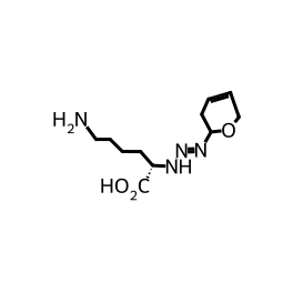 NCCCC[C@H](NN=NC1CC=CCO1)C(=O)O